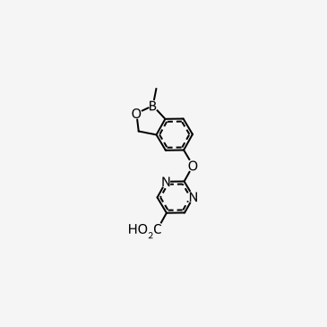 CB1OCc2cc(Oc3ncc(C(=O)O)cn3)ccc21